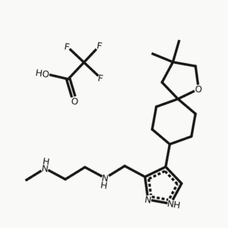 CNCCNCc1n[nH]cc1C1CCC2(CC1)CC(C)(C)CO2.O=C(O)C(F)(F)F